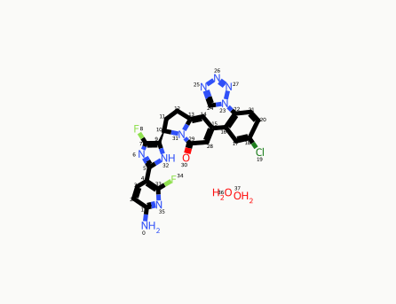 Nc1ccc(-c2nc(F)c([C@H]3CCc4cc(-c5cc(Cl)ccc5-n5cnnn5)cc(=O)n43)[nH]2)c(F)n1.O.O